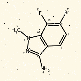 Cn1nc(N)c2ccc(Br)c(F)c21